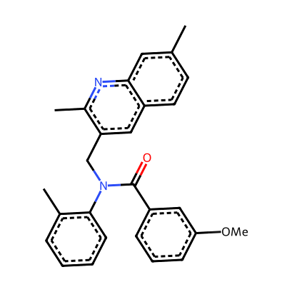 COc1cccc(C(=O)N(Cc2cc3ccc(C)cc3nc2C)c2ccccc2C)c1